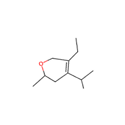 CCC1=C(C(C)C)CC(C)OC1